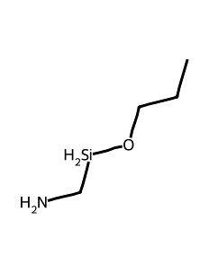 CCCO[SiH2]CN